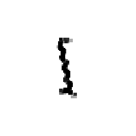 CCC(=O)COCCOCCCNC